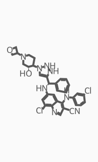 N#Cc1cnc2c(Cl)cc(N[C@H](C3=CN(C4CCN(C5COC5)C[C@H]4O)NN3)c3ccccc3)cc2c1Nc1cccc(Cl)c1